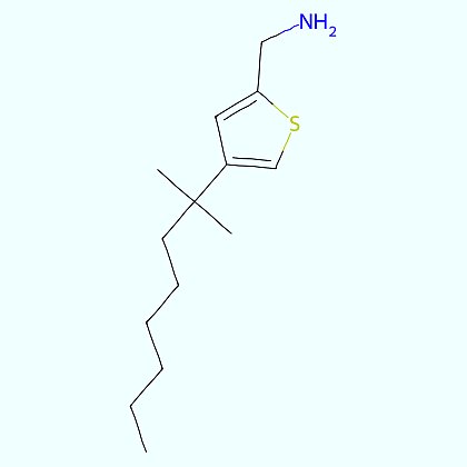 CCCCCCC(C)(C)c1csc(CN)c1